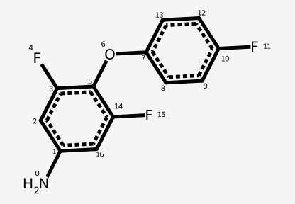 Nc1cc(F)c(Oc2ccc(F)cc2)c(F)c1